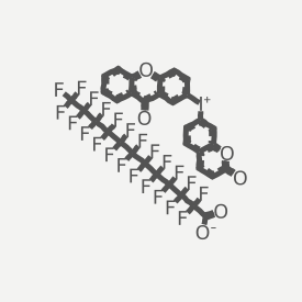 O=C([O-])C(F)(F)C(F)(F)C(F)(F)C(F)(F)C(F)(F)C(F)(F)C(F)(F)C(F)(F)C(F)(F)C(F)(F)C(F)(F)F.O=c1ccc2ccc([I+]c3ccc4oc5ccccc5c(=O)c4c3)cc2o1